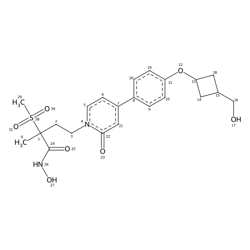 CC(CCn1ccc(-c2ccc(OC3CC(CO)C3)cc2)cc1=O)(C(=O)NO)S(C)(=O)=O